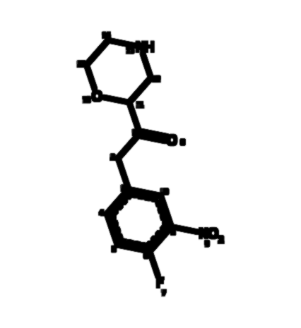 O=C(Cc1ccc(F)c([N+](=O)[O-])c1)C1CNCCO1